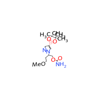 COCCC(COC(N)=O)n1cc(B2OC(C)(C)C(C)(C)O2)cn1